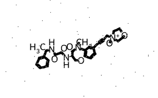 C[C@@H](NC(=O)C(=O)N[C@H]1COc2ccc(C#CC[N+]3([O-])CCOCC3)cc2N(C)C1=O)c1ccccc1